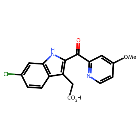 COc1ccnc(C(=O)c2[nH]c3cc(Cl)ccc3c2CC(=O)O)c1